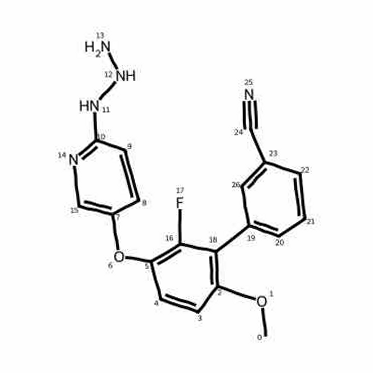 COc1ccc(Oc2ccc(NNN)nc2)c(F)c1-c1cccc(C#N)c1